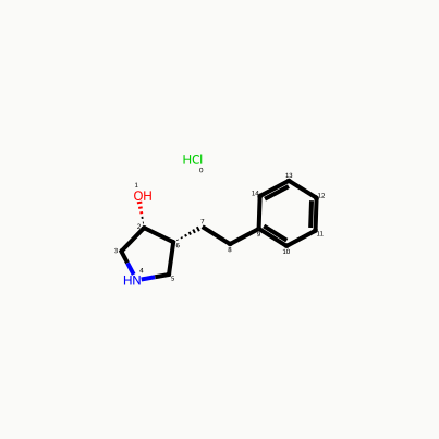 Cl.O[C@H]1CNC[C@H]1CCc1ccccc1